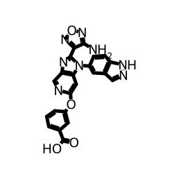 Nc1nonc1-c1nc2cnc(Oc3cccc(C(=O)O)c3)cc2n1-c1ccc2[nH]ncc2c1